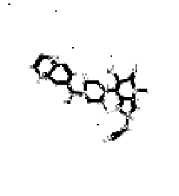 C[C@@H]1CN(c2c(Br)c(=O)n(C)c3cn(CC#N)nc23)[C@@H](C)CN1[C@@H](C)c1ccc2nccnc2c1